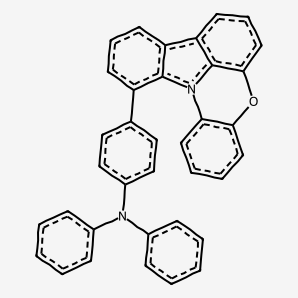 c1ccc(N(c2ccccc2)c2ccc(-c3cccc4c5cccc6c5n(c34)-c3ccccc3O6)cc2)cc1